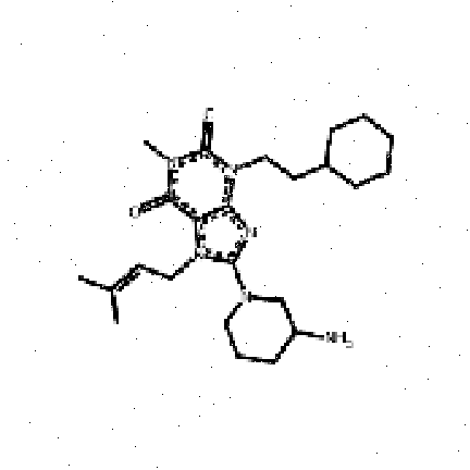 CC(C)=CCn1c(N2CCCC(N)C2)nc2c1c(=O)n(C)c(=O)n2CCC1CCCCC1